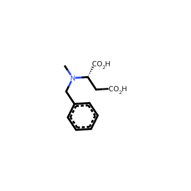 CN(Cc1ccccc1)[C@@H](CC(=O)O)C(=O)O